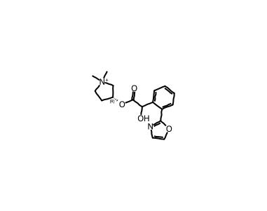 C[N+]1(C)CC[C@@H](OC(=O)C(O)c2ccccc2-c2ncco2)C1